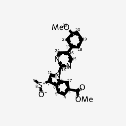 COC(=O)c1ccc2c([S+](C)[O-])cn(-c3ncc(-c4cccc(OC)c4)cn3)c2c1